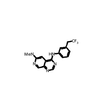 CNc1cc2c(Nc3cccc(CC(F)(F)F)c3)ncnc2cn1